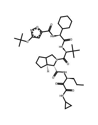 CCC[C@H](NC(=O)[C@@H]1[C@H]2CCCC2CN1C(=O)[C@@H](NC(=O)[C@@H](NC(=O)c1cc(OC(C)(C)C)no1)C1CCCCC1)C(C)(C)C)C(=O)C(=O)NC1CC1